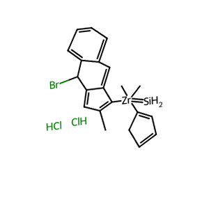 CC1=[C]([Zr]([CH3])([CH3])(=[SiH2])[C]2=CC=CC2)C2=Cc3ccccc3C(Br)C2=C1.Cl.Cl